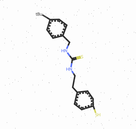 CC(C)(C)c1ccc(CNC(=S)NCCc2ccc(S)cc2)cc1